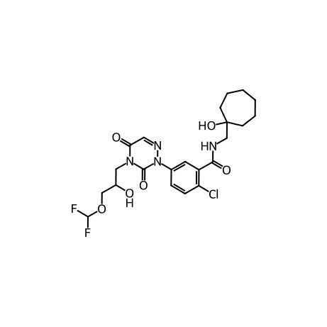 O=C(NCC1(O)CCCCCC1)c1cc(-n2ncc(=O)n(CC(O)COC(F)F)c2=O)ccc1Cl